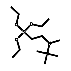 CCO[Si](CCN(C)[Si](C)(C)C)(OCC)OCC